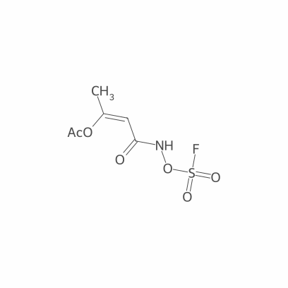 CC(=O)O/C(C)=C\C(=O)NOS(=O)(=O)F